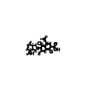 CNC1C=CC(C)C2CN(c3c(F)cc4c(=O)c(C(=O)O)cn(C5CC5)c4c3Cl)CC12